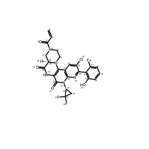 C=CC(=O)N1CCN2c3c(c(=O)n([C@H]4CC4(F)F)c4nc(-c5c(O)cccc5F)c(Cl)cc34)NC(=O)[C@H]2C1